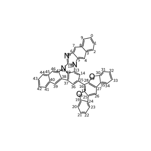 c1ccc2cc3c(cc2c1)nc1n3c2cc(-c3c4oc5ccccc5c4cc4c3oc3ccccc34)cc3c4cc5ccccc5cc4n1c32